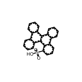 O=S(=O)(O)c1cccc2c3ccccc3c3c4ccccc4c4ccccc4c3c12